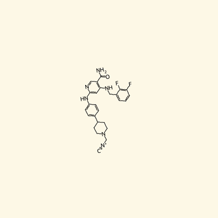 [C-]#[N+]CN1CCC(c2ccc(Nc3cc(NCc4cccc(F)c4F)c(C(N)=O)cn3)cc2)CC1